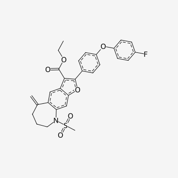 C=C1CCCN(S(C)(=O)=O)c2cc3oc(-c4ccc(Oc5ccc(F)cc5)cc4)c(C(=O)OCC)c3cc21